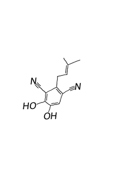 CC(C)=CCc1c(C#N)cc(O)c(O)c1C#N